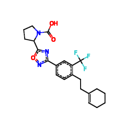 O=C(O)N1CCCC1c1nc(-c2ccc(CCC3=CCCCC3)c(C(F)(F)F)c2)no1